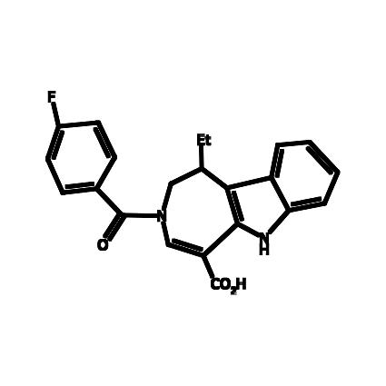 CCC1CN(C(=O)c2ccc(F)cc2)C=C(C(=O)O)c2[nH]c3ccccc3c21